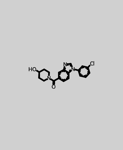 O=C(c1ccc2c(c1)ncn2-c1cccc(Cl)c1)N1CCC(O)CC1